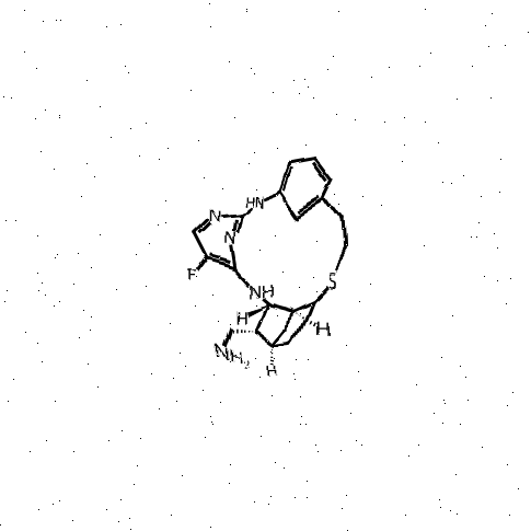 NC[C@H]1[C@@H]2CC3SCCc4cccc(c4)Nc4ncc(F)c(n4)N[C@@H]1[C@@H]3C2